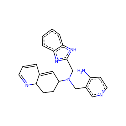 Nc1ccncc1CN(Cc1nc2ccccc2[nH]1)C1C=C2C=CC=NC2CC1